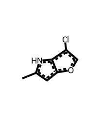 Cc1cc2occ(Cl)c2[nH]1